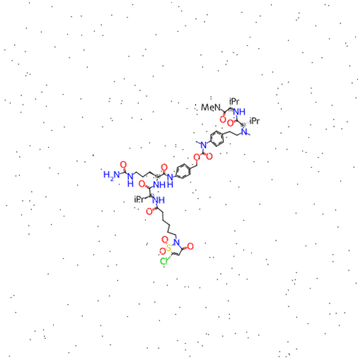 CNC(=O)[C@@H](NC(=O)[C@H](C(C)C)N(C)CCc1ccc(N(C)C(=O)OCc2ccc(NC(=O)[C@H](CCCNC(N)=O)NC(=O)[C@@H](NC(=O)CCCCCN3C(=O)C=C(Cl)S3(=O)=O)C(C)C)cc2)cc1)C(C)C